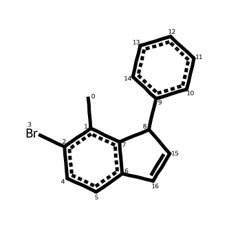 Cc1c(Br)ccc2c1C(c1ccccc1)C=C2